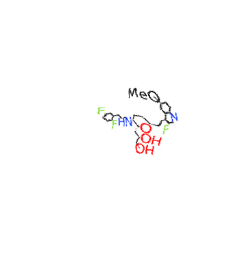 COc1ccc2ncc(F)c(C=C[C@@H]3CC[C@@H](NC/C=C/c4cc(F)ccc4F)[C@@H](C[C@H](O)CO)O3)c2c1